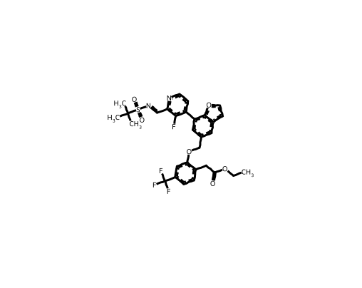 CCOC(=O)Cc1ccc(C(F)(F)F)cc1OCc1cc(-c2ccnc(C=NS(=O)(=O)C(C)(C)C)c2F)c2occc2c1